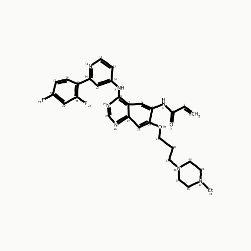 C=CC(=O)Nc1cc2c(Nc3ccnc(-c4ccc(F)cc4F)c3)ncnc2cc1OCCCN1CCN(CC)CC1